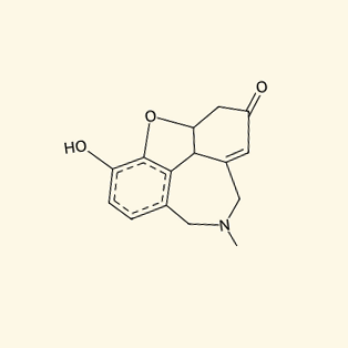 CN1CC2=CC(=O)CC3Oc4c(O)ccc(c4C23)C1